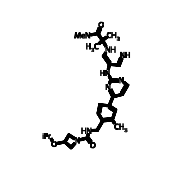 CNC(=O)C(C)(C)N/C=C(\C=N)Nc1nccc(-c2ccc(CNC(=O)N3CC(OC(C)C)C3)c(C)c2)n1